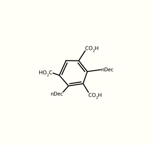 CCCCCCCCCCc1c(C(=O)O)cc(C(=O)O)c(CCCCCCCCCC)c1C(=O)O